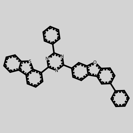 c1ccc(-c2ccc3oc4cc(-c5nc(-c6ccccc6)nc(-c6cccc7c6sc6ccccc67)n5)ccc4c3c2)cc1